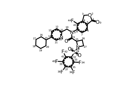 O=C1OCc2c1ccc(N(Cc1ccc(C3CCCCC3)cn1)C(=O)C1CCN1S(=O)(=O)c1c(F)c(F)c(F)c(F)c1F)c2F